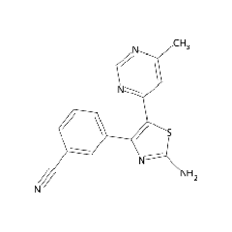 Cc1cc(-c2sc(N)nc2-c2cccc(C#N)c2)ncn1